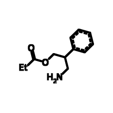 CCC(=O)OCC(CN)c1ccccc1